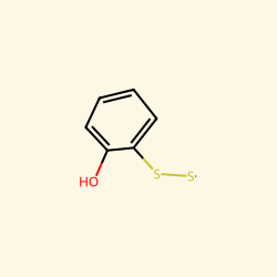 Oc1ccccc1S[S]